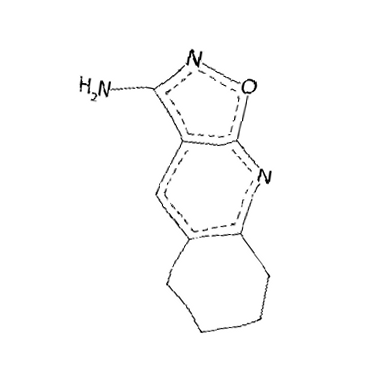 Nc1noc2nc3c(cc12)CCCC3